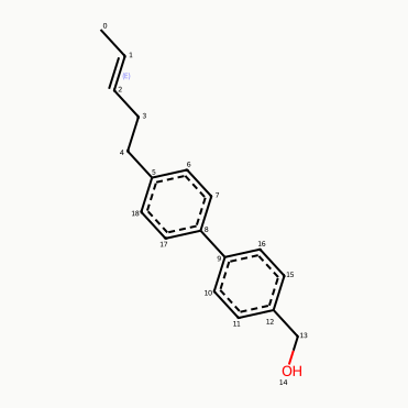 C/C=C/CCc1ccc(-c2ccc(CO)cc2)cc1